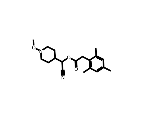 CON1CCC(C(C#N)OC(=O)Cc2c(C)cc(C)cc2C)CC1